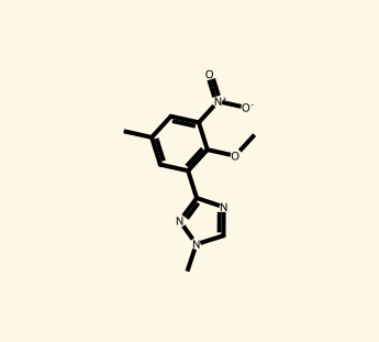 COc1c(-c2ncn(C)n2)cc(C)cc1[N+](=O)[O-]